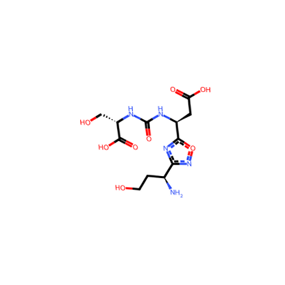 N[C@@H](CCO)c1noc([C@H](CC(=O)O)NC(=O)N[C@@H](CO)C(=O)O)n1